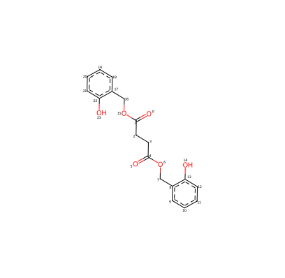 O=C(CCC(=O)OCc1ccccc1O)OCc1ccccc1O